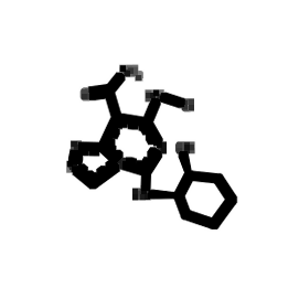 NC(=O)c1c(NCl)nc(N[C@@H]2CCCC[C@@H]2O)n2cnnc12